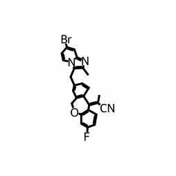 C/C(C#N)=C1\c2ccc(Cc3c(C)nc4cc(Br)ccn34)cc2COc2cc(F)ccc21